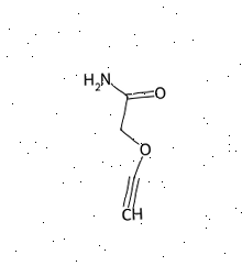 C#COCC(N)=O